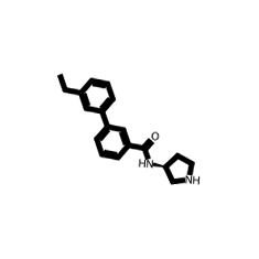 CCc1cccc(-c2cccc(C(=O)N[C@H]3CCNC3)c2)c1